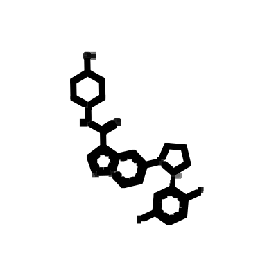 O=C(NN1CCC(O)CC1)c1cnn2ccc(N3CCC[C@@H]3c3cc(F)ccc3F)cc12